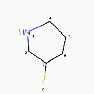 FC1[CH]NCCC1